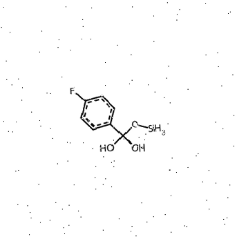 OC(O)(O[SiH3])c1ccc(F)cc1